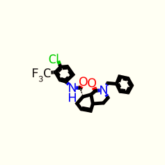 O=C(Nc1ccc(Cl)c(C(F)(F)F)c1)[C@H]1CC=CC2CCN(Cc3ccccc3)C(=O)C21